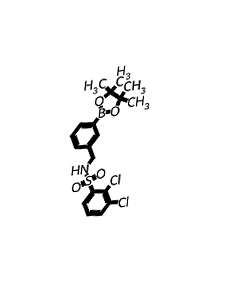 CC1(C)OB(c2cccc(CNS(=O)(=O)c3cccc(Cl)c3Cl)c2)OC1(C)C